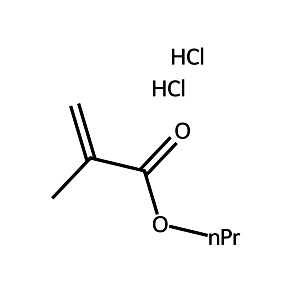 C=C(C)C(=O)OCCC.Cl.Cl